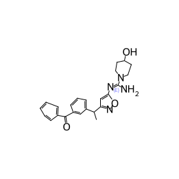 CC(c1cccc(C(=O)c2ccccc2)c1)c1cc(/N=C(\N)N2CCC(O)CC2)on1